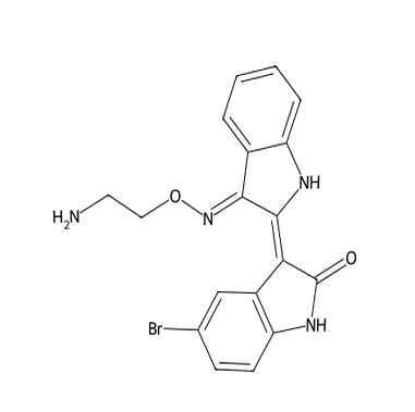 NCCO/N=C1/C(=C2/C(=O)Nc3ccc(Br)cc32)Nc2ccccc21